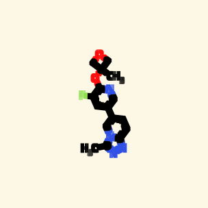 Cc1nnc2ccc(-c3cnc(OC4(C)COC4)c(F)c3)cn12